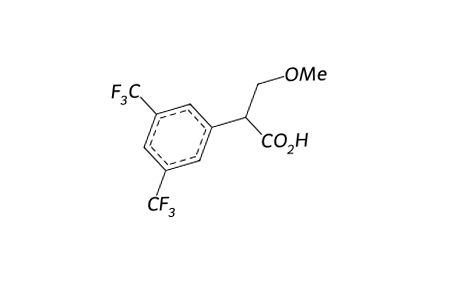 COCC(C(=O)O)c1cc(C(F)(F)F)cc(C(F)(F)F)c1